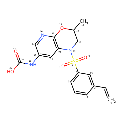 C=Cc1cccc(S(=O)(=O)N2CC(C)Oc3ncc(NC(=O)O)cc32)c1